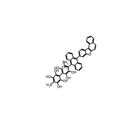 B/C=C(/C(O)=C(O)\C(=C(/C)O)c1c(O)c(O)c(B)c(O)c1O)c1c2ccccc2c(-c2ccc3c(c2)oc2ccc4ccccc4c23)c2ccccc12